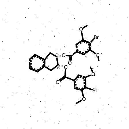 COc1cc(C(=O)O[C@H]2Cc3ccccc3C[C@H]2OC(=O)c2cc(OC)c(Br)c(OC)c2)cc(OC)c1Br